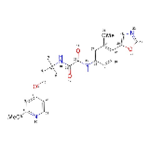 COc1cc(OCCC(C)(C)NC(=O)C(=O)Nc2ccc(-c3cnco3)c(OC)c2)ccn1